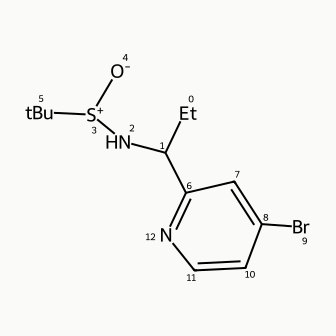 CCC(N[S+]([O-])C(C)(C)C)c1cc(Br)ccn1